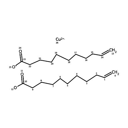 C=CCCCCCCCCC(=O)[O-].C=CCCCCCCCCC(=O)[O-].[Cu+2]